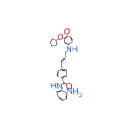 COc1ccc(NC/C=C/c2ccc(C(=O)Nc3ccccc3N)cc2)cc1OC1CCCC1